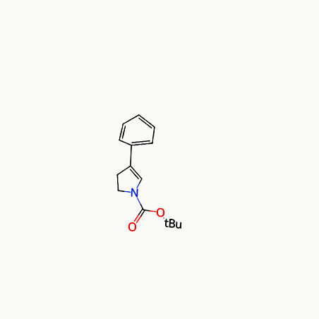 CC(C)(C)OC(=O)N1C=C(c2ccccc2)CC1